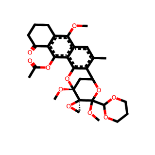 COc1c2c(c(OC(C)=O)c3c4c(c(C)cc13)C1C[C@@](OC)(O4)[C@@]3(CO3)C(OC)(C3OCCCO3)O1)C(=O)CCC2